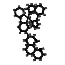 c1ccc2c(c1)-c1ccc(-c3cnc4c(ccc5cccnc54)c3)cc1C21c2ccccc2-c2cccc3cccc1c23